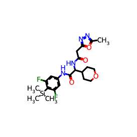 Cc1nnc(CC(=O)NC(C(=O)Nc2cc(F)c([Si](C)(C)C)c(F)c2)C2CCOCC2)o1